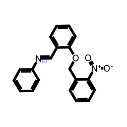 O=[N+]([O-])c1ccccc1COc1ccccc1/C=N/c1ccccc1